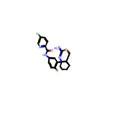 NC1=NC2(c3cc(NC(=O)c4ccc(Br)cn4)ccc3F)CCCCC2CS1